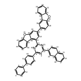 c1ccc(-c2ccc(-c3nc(-c4ccc5ccccc5c4)nc(-c4cc(-c5ccc6oc7ccccc7c6c5)cc5oc6ccccc6c45)n3)cc2)cc1